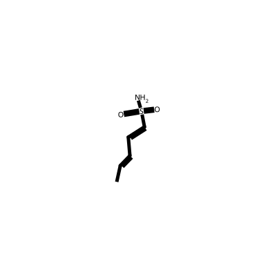 CC=CC=CS(N)(=O)=O